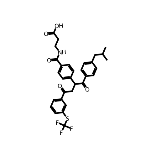 CC(C)Cc1ccc(C(=O)C(CC(=O)c2cccc(SC(F)(F)F)c2)c2ccc(C(=O)NCCC(=O)O)cc2)cc1